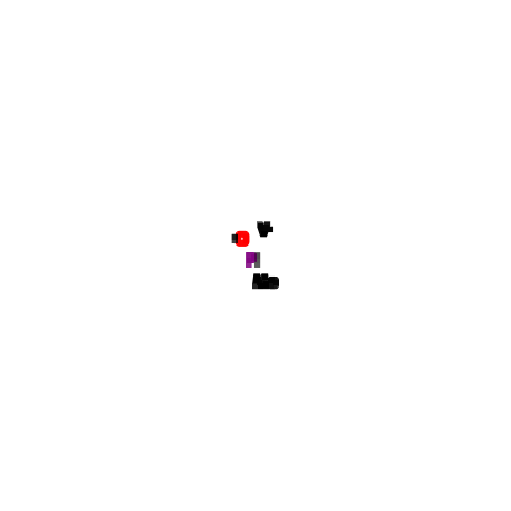 [Mo].[O].[P].[V]